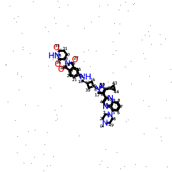 CN1CCN(c2cccc3nc(-c4cn([C@H]5C[C@H](CNc6ccc7c(c6)C(=O)N(C6CCC(=O)NC6=O)C7=O)C5)nc4C4CC4)cnc23)CC1